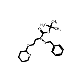 CC(C)(C)OC(=O)N(CCOC1CCCCO1)OCc1ccccc1